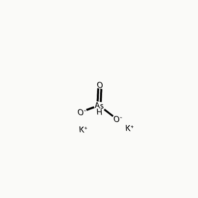 O=[AsH]([O-])[O-].[K+].[K+]